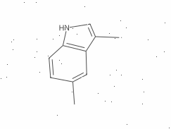 [CH2]c1c[nH]c2ccc(C)cc12